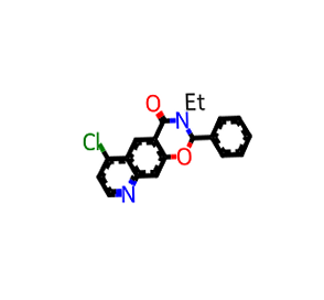 CCN1C(=O)c2cc3c(Cl)ccnc3cc2OC1c1ccccc1